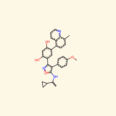 C=C(Nc1onc(-c2cc(-c3ccc(C)c4ncccc34)c(O)cc2O)c1-c1ccc(OC)cc1)C1CC1